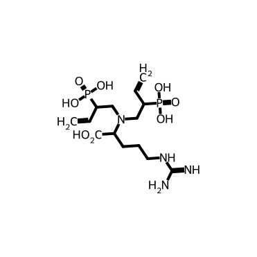 C=CC(CN(CC(C=C)P(=O)(O)O)C(CCCNC(=N)N)C(=O)O)P(=O)(O)O